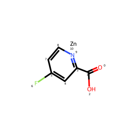 O=C(O)c1cc(F)ccn1.[Zn]